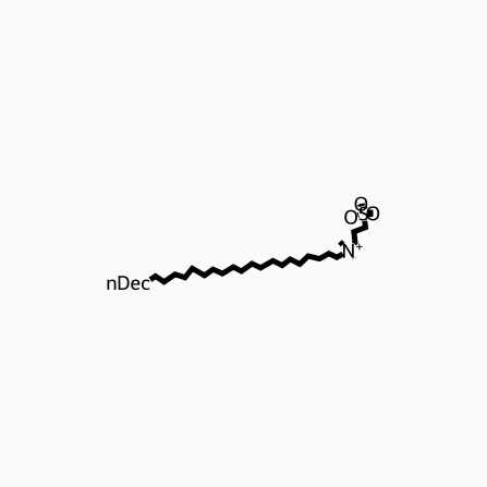 CCCCCCCCCCCCCCCCCCCCCCCCCCCCCC[N+](C)(C)CCCS(=O)(=O)[O-]